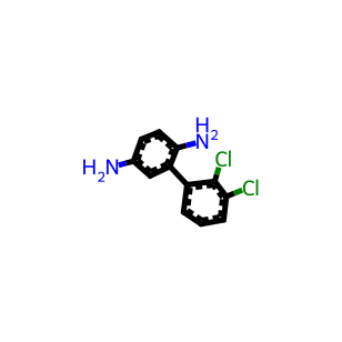 Nc1ccc(N)c(-c2cccc(Cl)c2Cl)c1